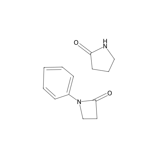 O=C1CCCN1.O=C1CCN1c1ccccc1